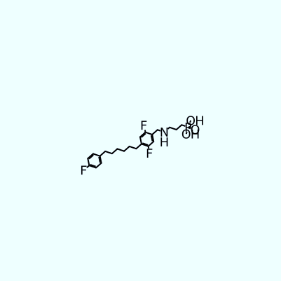 O=P(O)(O)CCCNCc1cc(F)c(CCCCCCc2ccc(F)cc2)cc1F